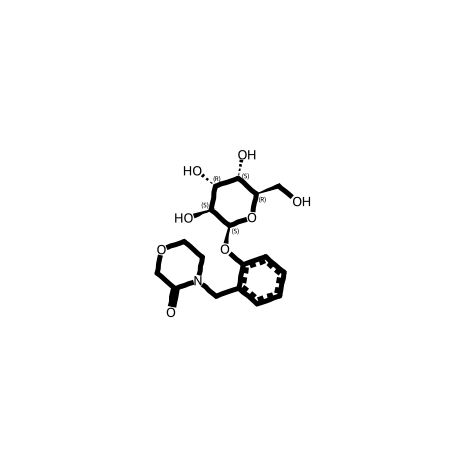 O=C1COCCN1Cc1ccccc1O[C@@H]1O[C@H](CO)[C@@H](O)[C@@H](O)[C@@H]1O